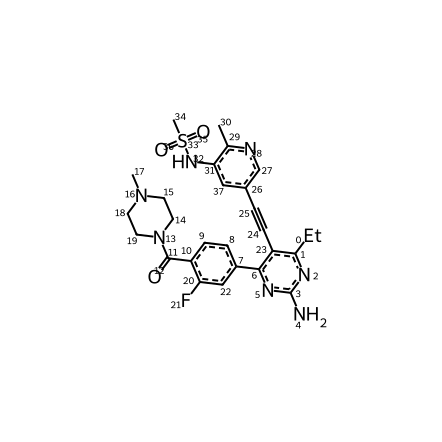 CCc1nc(N)nc(-c2ccc(C(=O)N3CCN(C)CC3)c(F)c2)c1C#Cc1cnc(C)c(NS(C)(=O)=O)c1